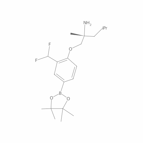 CC(C)C[C@@](C)(N)COc1ccc(B2OC(C)(C)C(C)(C)O2)cc1C(F)F